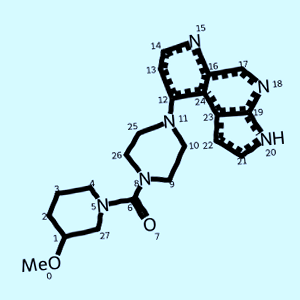 COC1CCCN(C(=O)N2CCN(c3ccnc4cnc5[nH]ccc5c34)CC2)C1